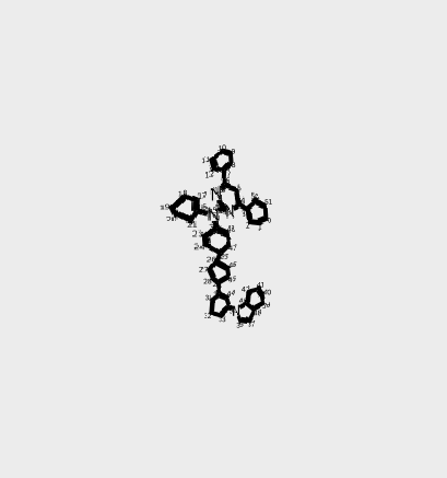 c1ccc(-c2cc(-c3ccccc3)nc(N(c3ccccc3)c3ccc(-c4ccc(-c5cccc(-n6ccc7ccccc76)c5)cc4)cc3)n2)cc1